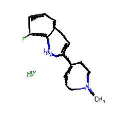 Br.CN1CC=C(c2cc3cccc(F)c3[nH]2)CC1